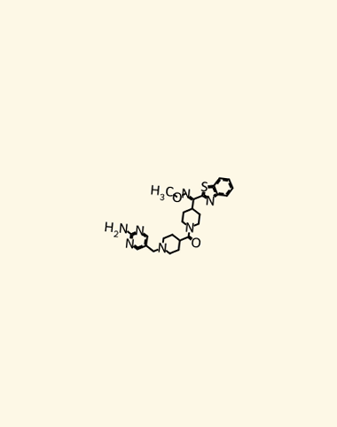 CO/N=C(/c1nc2ccccc2s1)C1CCN(C(=O)C2CCN(Cc3cnc(N)nc3)CC2)CC1